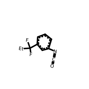 CCC(F)(F)c1cccc(N=C=O)c1